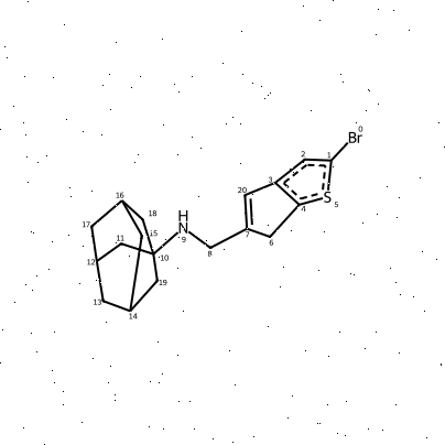 Brc1cc2c(s1)CC(CNC13CC4CC(CC(C4)C1)C3)=C2